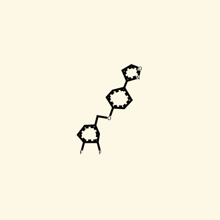 Fc1ccc(COc2ccc(-c3ccon3)cc2)cc1F